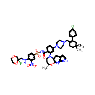 C[C@@H]1CCN(c2cc(N3CCN(CC4=C(c5ccc(Cl)cc5)CC(C)(C)CC4)CC3)ccc2C(=O)NS(=O)(=O)c2ccc(NC[C@@]3(F)COCCO3)c([N+](=O)[O-])c2)c2cc3cc[nH]c3nc2O1